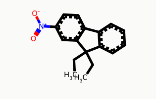 CCC1(CC)c2ccccc2-c2ccc([N+](=O)[O-])cc21